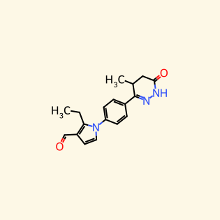 CCc1c(C=O)ccn1-c1ccc(C2=NNC(=O)CC2C)cc1